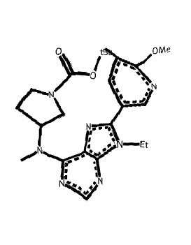 CCn1c(-c2cnc(OC)c(C)c2)nc2c(N(C)C3CCN(C(=O)OC(C)(C)C)C3)ncnc21